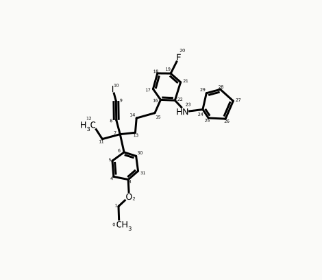 CCOc1ccc(C(C#CI)(CC)CCCc2ccc(F)cc2Nc2ccccc2)cc1